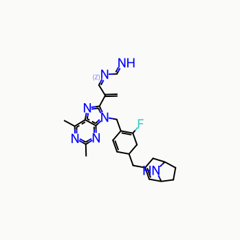 C=C(/C=N\C=N)c1nc2c(C)nc(C)nc2n1CC1=C(F)CC(CC2=CC3CCC(C2)N3)C=C1